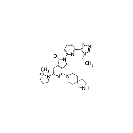 CCn1cnnc1-c1cccc(N2Cc3c(cc(N4CCC[C@H]4C)nc3N3CCC4(CCNC4)CC3)C2=O)n1